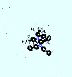 CC(C)(C)c1ccc(N2c3ccc(C(C)(C)C)cc3B3C4=C(C=CC(c5ccccc5)C4)N(c4ccc(-c5ccccc5)cc4)c4cc(C(C)(C5=CCCC=C5)c5ccccc5)cc2c43)cc1